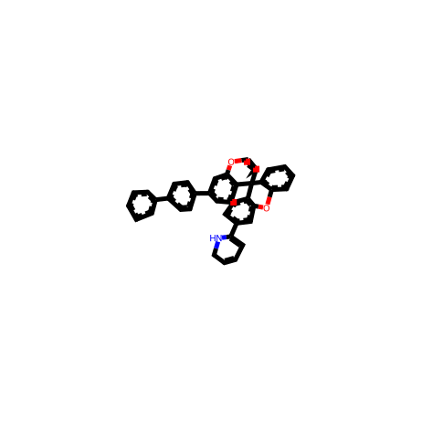 C1=CCNC(c2ccc3c(c2)Oc2ccccc2C32c3ccccc3Oc3cc(-c4ccc(-c5ccccc5)cc4)ccc32)=C1